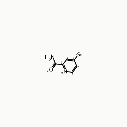 NC(=O)c1cc([S])ccn1